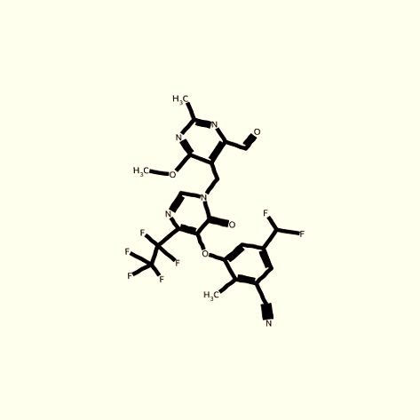 COc1nc(C)nc(C=O)c1Cn1cnc(C(F)(F)C(F)(F)F)c(Oc2cc(C(F)F)cc(C#N)c2C)c1=O